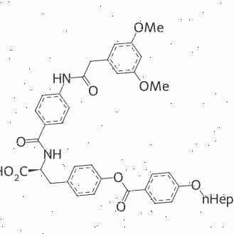 CCCCCCCOc1ccc(C(=O)Oc2ccc(C[C@H](NC(=O)c3ccc(NC(=O)Cc4cc(OC)cc(OC)c4)cc3)C(=O)O)cc2)cc1